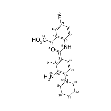 Cc1c(C(=O)Nc2ccc(F)cc2CC(=O)O)ccc(N2CCCCC2)c1N